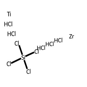 Cl.Cl.Cl.Cl.Cl.Cl[Si](Cl)(Cl)Cl.[Ti].[Zr]